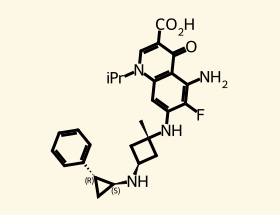 CC(C)n1cc(C(=O)O)c(=O)c2c(N)c(F)c(N[C@]3(C)C[C@@H](N[C@H]4C[C@@H]4c4ccccc4)C3)cc21